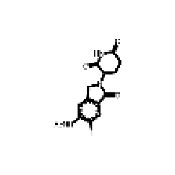 CC(=O)Nc1cc2c(cc1I)C(=O)N(C1CCC(=O)NC1=O)C2